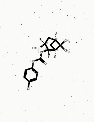 CCOC(=O)[C@H]1C[C@@H]2C[C@H]([C@@H]1NC(=O)Nc1ccc(Cl)cc1)C2(C)C